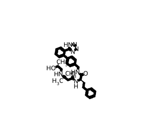 C[C@@H](O)CNC(C)(C)CC(=O)N[C@H](CCc1ccccc1)C(=O)NCc1ccc(-c2ccccc2-c2nnn[nH]2)cc1